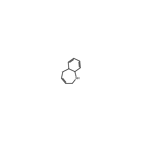 [C]1C=CCNC2C=CC=CC12